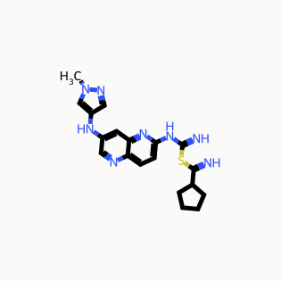 Cn1cc(Nc2cnc3ccc(NC(=N)SC(=N)C4CCCC4)nc3c2)cn1